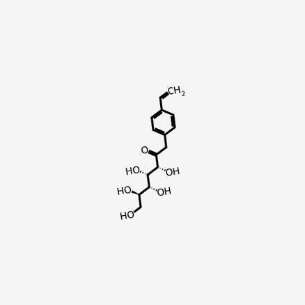 C=Cc1ccc(CC(=O)[C@H](O)[C@@H](O)[C@H](O)[C@H](O)CO)cc1